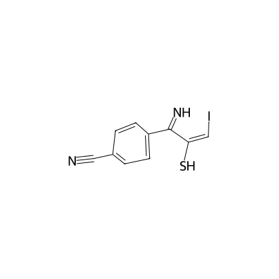 N#Cc1ccc(C(=N)/C(S)=C\I)cc1